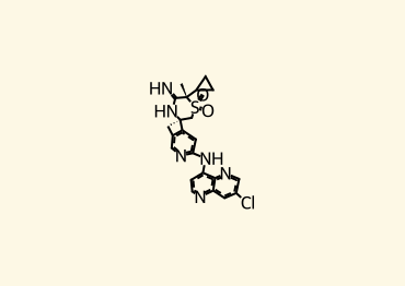 C[C@]1(C2CC2)C(=N)N[C@@]2(Cc3cnc(Nc4ccnc5cc(Cl)cnc45)cc32)CS1(=O)=O